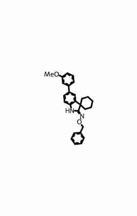 COc1cccc(-c2ccc3c(c2)C2(CCCCC2)/C(=N/OCc2ccccc2)N3)c1